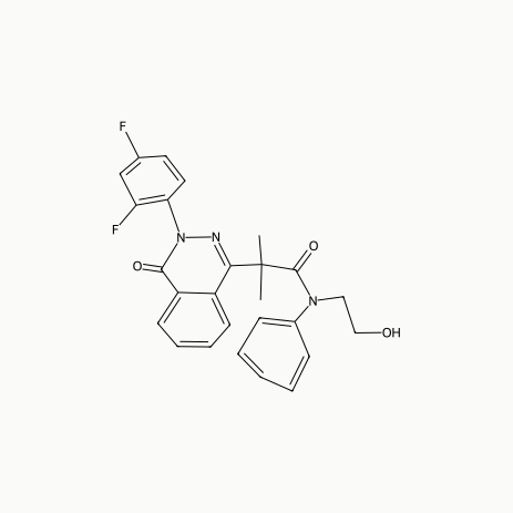 CC(C)(C(=O)N(CCO)c1ccccc1)c1nn(-c2ccc(F)cc2F)c(=O)c2ccccc12